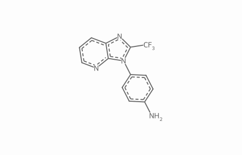 Nc1ccc(-n2c(C(F)(F)F)nc3cccnc32)cc1